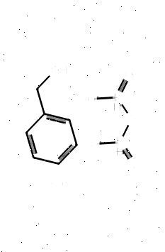 O=[PH]([O-])O[PH](=O)[O-].OCc1ccccc1.[Ca+2]